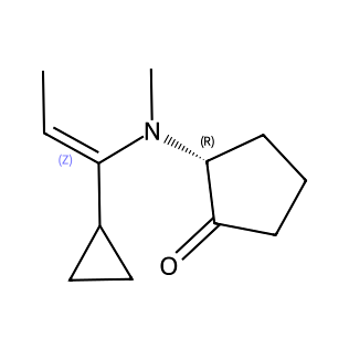 C/C=C(/C1CC1)N(C)[C@@H]1CCCC1=O